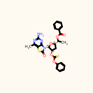 Cc1nc(N)nc2c1sc(=O)n2[C@@H]1O[C@H](C(C)OC(=O)c2ccccc2)C[C@H]1OC(=S)Oc1ccccc1